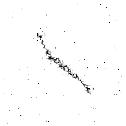 C=CC(=O)OCCCCCCOC(=O)c1ccc(OC(=O)c2ccc(OC(=O)c3ccc(OCCCCOC(=O)C=C)cc3)cc2)cc1